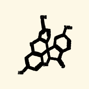 CNc1ccc2c(c1)C1(c3ccc(O)cc3Oc3cc(O)ccc31)C(O)C2=O